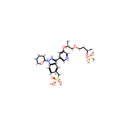 C[C@H](CCOC[C@H](C)Oc1cncc(-c2nn(C3CCCCO3)c3ccc(CS(=O)(=O)O)cc23)c1)OS(C)(=O)=O